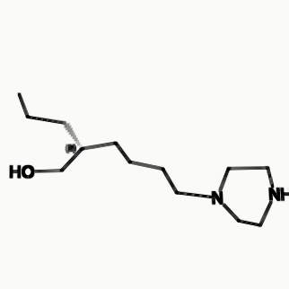 CCC[C@@H](CO)CCCCN1CCNCC1